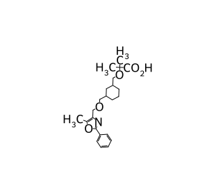 Cc1oc(-c2ccccc2)nc1COCC1CCCC(COC(C)(C)C(=O)O)C1